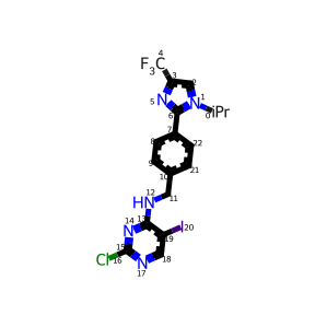 CC(C)n1cc(C(F)(F)F)nc1-c1ccc(CNc2nc(Cl)ncc2I)cc1